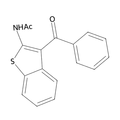 CC(=O)Nc1sc2ccccc2c1C(=O)c1ccccc1